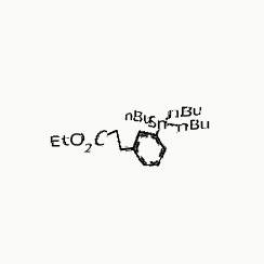 CCC[CH2][Sn]([CH2]CCC)([CH2]CCC)[c]1cccc(CCC(=O)OCC)c1